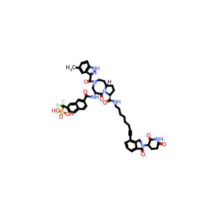 Cc1ccc2[nH]nc(C(=O)N3CC[C@H]4CC[C@@H](C(=O)NCCCCCCC#Cc5cccc6c5CN(C5CCC(=O)NC5=O)C6=O)N4C(=O)[C@@H](NC(=O)c4ccc5ccc(C(F)(F)P(=O)(O)O)cc5c4)C3)c2c1